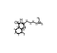 Cc1cccc2c(=O)[nH]c(CCCCN(C)C)nc12